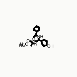 Cc1nc2c(-c3ccc(O)cc3)[nH]c(-c3ccccc3)cn-2c1=O.Cl.O